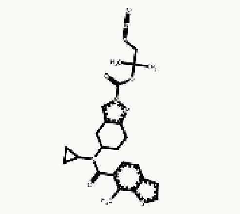 Cc1c(C(=O)N(C2CC2)C2CCc3nn(C(=O)OC(C)(C)CN=[N+]=[N-])cc3C2)ccc2ccsc12